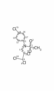 CS(=O)(=O)N(SC(Cl)C(Cl)Cl)c1ccc(Cl)cc1